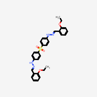 CCOc1ccccc1/C=N/Nc1ccc(S(=O)(=O)c2ccc(N/N=C/c3ccccc3OCC)cc2)cc1